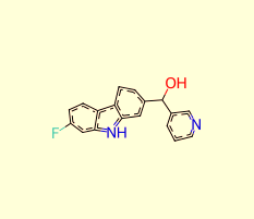 OC(c1cccnc1)c1ccc2c(c1)[nH]c1cc(F)ccc12